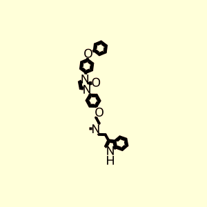 CN(CCOc1ccc(-n2ccn(-c3ccc(Oc4ccccc4)cc3)c2=O)cc1)CCc1c[nH]c2ccccc12